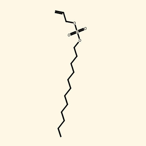 C=CCOS(=O)(=O)OCCCCCCCCCCCC